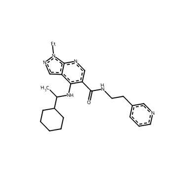 CCn1ncc2c(NC(C)C3CCCCC3)c(C(=O)NCCc3cccnc3)cnc21